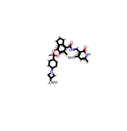 COC1CN(C2CCC([C@@]3(C)Oc4c(C)c(C(=O)NCc5c(SC)cc(C)[nH]c5=O)c5c(c4O3)CCC5)CC2)C1